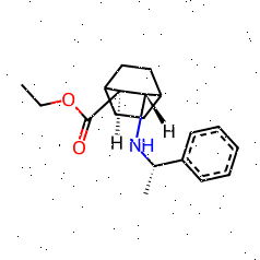 CCOC(=O)[C@H]1C2CCC(CC2)[C@@H]1N[C@@H](C)c1ccccc1